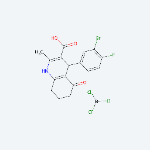 CC1=C(C(=O)O)C(c2ccc(F)c(Br)c2)C2=C(CCCC2=O)N1.ClB(Cl)Cl